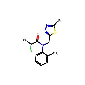 CCC(Cl)C(=O)N(Cc1nnc(C(C)C)s1)c1ccccc1C